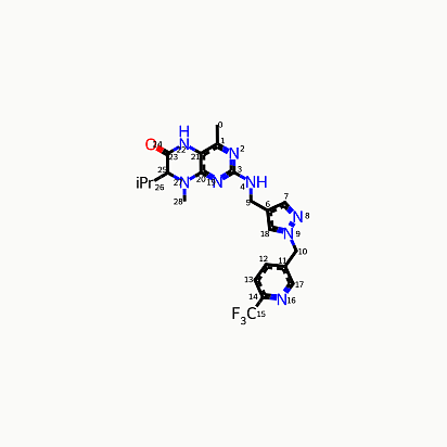 Cc1nc(NCc2cnn(Cc3ccc(C(F)(F)F)nc3)c2)nc2c1NC(=O)C(C(C)C)N2C